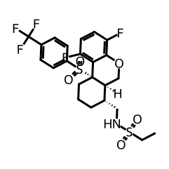 CCS(=O)(=O)NC[C@@H]1CCC[C@@]2(S(=O)(=O)c3ccc(C(F)(F)F)cc3)c3c(F)ccc(F)c3OC[C@@H]12